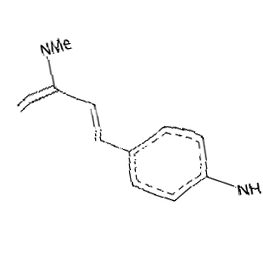 C=C(/C=C/c1ccc(N)cc1)NC